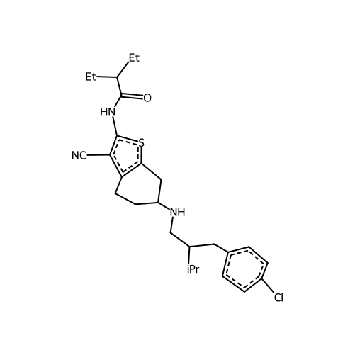 CCC(CC)C(=O)Nc1sc2c(c1C#N)CCC(NCC(Cc1ccc(Cl)cc1)C(C)C)C2